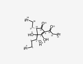 CC(C)CC[C@@H](O)C1(O)C(O)=C(C(=O)CC(C)C)C(=O)[C@H]1CCC(C)C